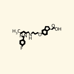 Cc1cc(CNCCCOc2ccc3c(c2)CC[C@H]3CC(=O)O)nc(-c2ccc(F)cc2)n1